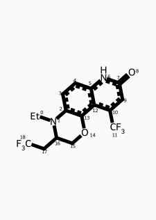 CCN1c2ccc3[nH]c(=O)cc(C(F)(F)F)c3c2OCC1CC(F)(F)F